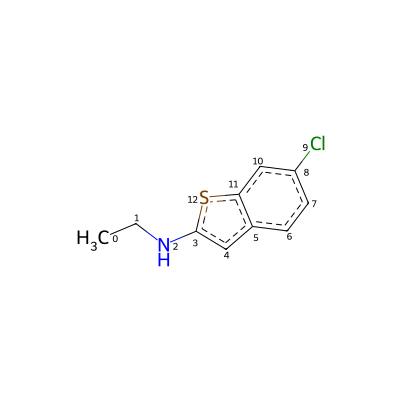 CCNc1cc2ccc(Cl)cc2s1